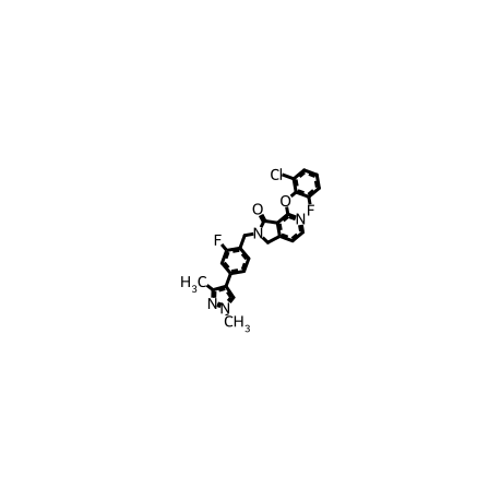 Cc1nn(C)cc1-c1ccc(CN2Cc3ccnc(Oc4c(F)cccc4Cl)c3C2=O)c(F)c1